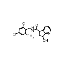 Cc1cc(Cl)cc(Cl)c1CNC(=O)C1CC(O)c2ncccc21